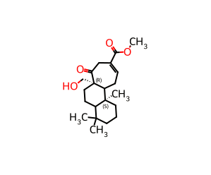 COC(=O)C1=CCC2[C@@](CO)(CCC3C(C)(C)CCC[C@@]32C)C(=O)C1